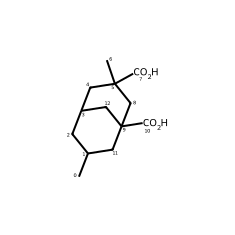 CC1CC2CC(C)(C(=O)O)CC(C(=O)O)(C1)C2